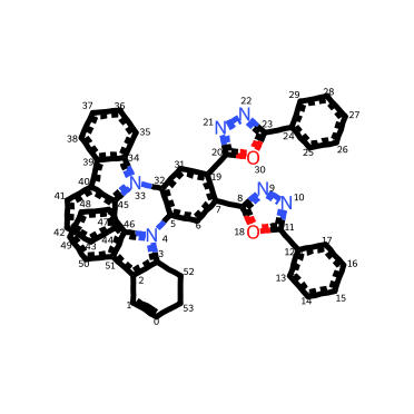 C1=Cc2c(n(-c3cc(-c4nnc(-c5ccccc5)o4)c(-c4nnc(-c5ccccc5)o4)cc3-n3c4ccccc4c4ccccc43)c3ccccc23)CC1